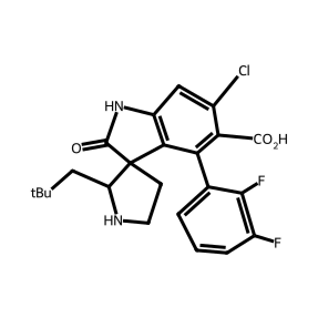 CC(C)(C)CC1NCCC12C(=O)Nc1cc(Cl)c(C(=O)O)c(-c3cccc(F)c3F)c12